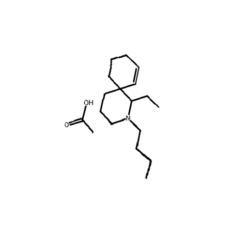 CC(=O)O.CCCCN1CCCC2(C=CCCC2)C1CC